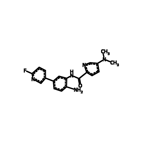 CN(C)c1ccc(C(=O)Nc2cc(-c3ccc(F)nc3)ccc2N)nc1